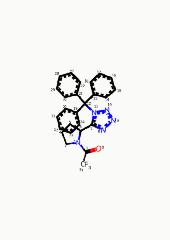 O=C(N1CCCC1c1nnnn1C(c1ccccc1)(c1ccccc1)c1ccccc1)C(F)(F)F